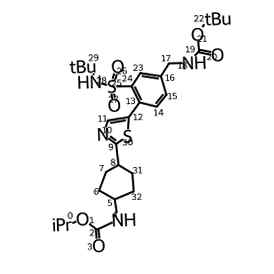 CC(C)OC(=O)NC1CCC(c2ncc(-c3ccc(CNC(=O)OC(C)(C)C)cc3S(=O)(=O)NC(C)(C)C)s2)CC1